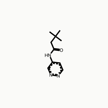 CC(C)(C)CC(=O)Nc1ccnnc1